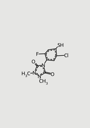 Cn1c(=O)n(-c2cc(Cl)c(S)cc2F)c(=O)n1C